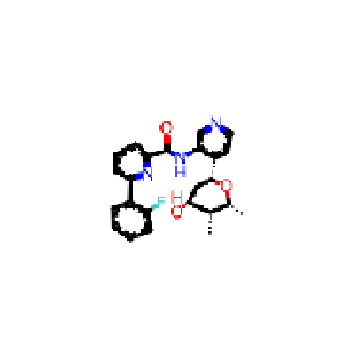 C[C@@H]1[C@H](O)C[C@H](c2ccncc2NC(=O)c2cccc(-c3ccccc3F)n2)O[C@@H]1C